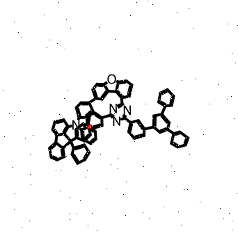 c1ccc(-c2cc(-c3ccccc3)cc(-c3cccc(-c4nc(-c5ccccc5)nc(-c5cccc6oc7ccc(-c8ccc9c(c8)c8ccccc8n9-c8cccc9c8C(c8ccccc8)(c8ccccc8)c8ccccc8-9)cc7c56)n4)c3)c2)cc1